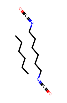 CCCCCC.O=C=NCCCCCCN=C=O